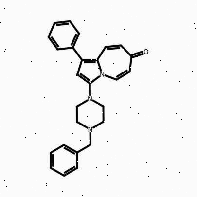 O=c1ccc2c(-c3ccccc3)cc(N3CCN(Cc4ccccc4)CC3)n2cc1